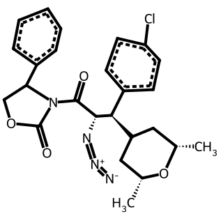 C[C@@H]1CC([C@H](c2ccc(Cl)cc2)[C@H](N=[N+]=[N-])C(=O)N2C(=O)OCC2c2ccccc2)C[C@H](C)O1